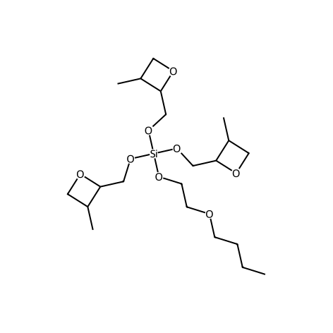 CCCCOCCO[Si](OCC1OCC1C)(OCC1OCC1C)OCC1OCC1C